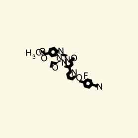 COC(=O)c1ccc2nc(Cn3ncc(-c4cccc(OCc5ccc(C#N)cc5F)n4)cc3=O)n(C[C@@H]3CCO3)c2c1